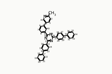 Cc1ccc(-c2cccc(-c3nc(-c4ccc(-c5ccccc5)cc4)nc(-c4ccc(-c5ccccc5)cc4)n3)c2)cn1